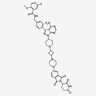 COc1ccc(F)cc1C(=O)NCc1ccc(-c2nn(C3CCN(C4CC(N5CCN(c6ccc7c(c6)C(=O)N(C6CCC(=O)NC6=O)C7=O)CC5)C4)CC3)c3ncnc(N)c23)cc1